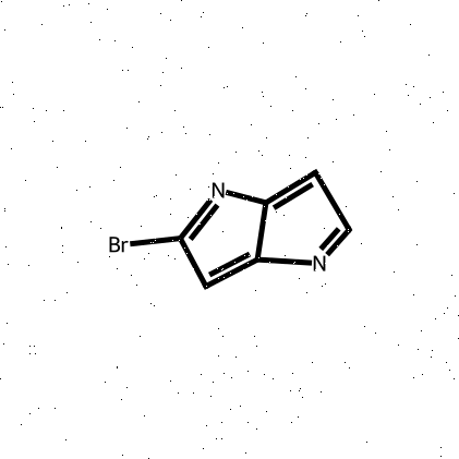 BrC1=NC2=CC=NC2=C1